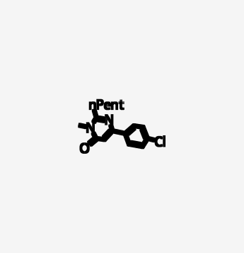 CCCCCc1nc(-c2ccc(Cl)cc2)cc(=O)n1C